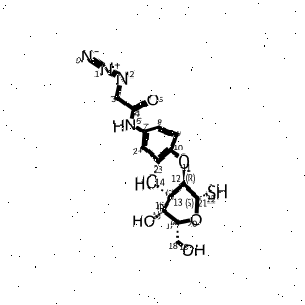 [N-]=[N+]=NCC(=O)Nc1ccc(O[C@@H]2[C@@H](O)[C@@H](O)[C@@H](CO)O[C@H]2S)cc1